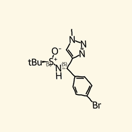 Cn1cc([C@@H](N[S@+]([O-])C(C)(C)C)c2ccc(Br)cc2)nn1